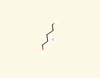 Cl.N.[O]CCCCCO